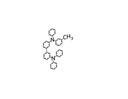 Cc1cccc(N(c2ccccc2)c2cccc(-c3cccc(N(c4ccccc4)c4ccccc4)c3)c2)c1